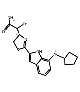 CCC(C(N)=O)[C@@H]1CSC(c2cc3cccc(NC4CCCC4)c3[nH]2)=N1